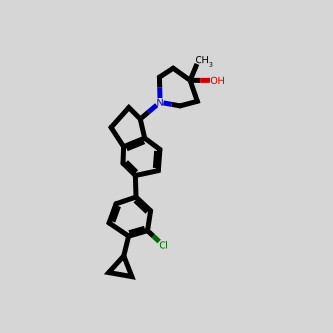 CC1(O)CCN(C2CCc3cc(-c4ccc(C5CC5)c(Cl)c4)ccc32)CC1